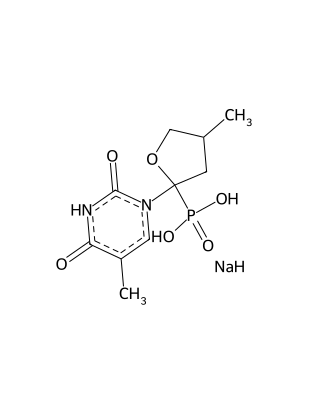 Cc1cn(C2(P(=O)(O)O)CC(C)CO2)c(=O)[nH]c1=O.[NaH]